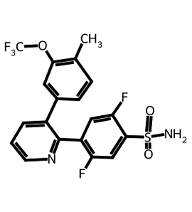 Cc1ccc(-c2cccnc2-c2cc(F)c(S(N)(=O)=O)cc2F)cc1OC(F)(F)F